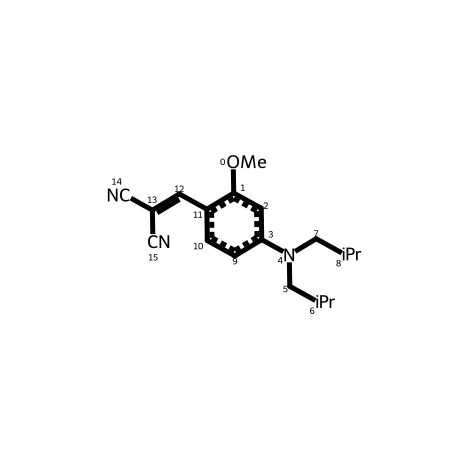 COc1cc(N(CC(C)C)CC(C)C)ccc1C=C(C#N)C#N